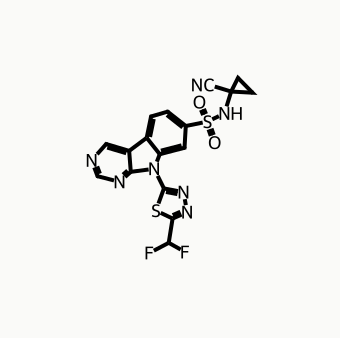 N#CC1(NS(=O)(=O)c2ccc3c4cncnc4n(-c4nnc(C(F)F)s4)c3c2)CC1